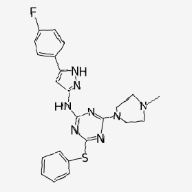 CN1CCN(c2nc(Nc3cc(-c4ccc(F)cc4)[nH]n3)nc(Sc3ccccc3)n2)CC1